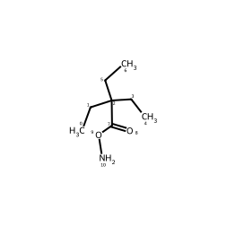 CCC(CC)(CC)C(=O)ON